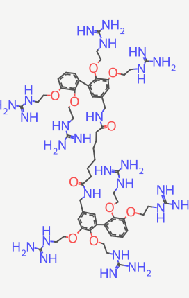 N=C(N)NCCOc1cccc(-c2cc(CNC(=O)CCCCCCC(=O)NCc3cc(OCCNC(=N)N)c(OCCNC(=N)N)c(-c4cccc(OCCNC(=N)N)c4OCCNC(=N)N)c3)cc(OCCNC(=N)N)c2OCCNC(=N)N)c1OCCNC(=N)N